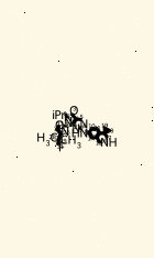 CC(C)n1c(=O)c2cnc(Nc3ccc4c(c3)CNCC43CC3)nc2n1-c1nc(C(C)(C)CF)co1